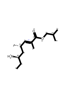 CC[C@@H](N)C[C@H](C)/C=C(\C)C(=O)OCC(C)C